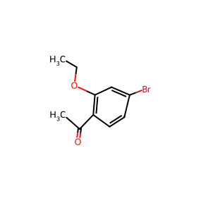 CCOc1cc(Br)ccc1C(C)=O